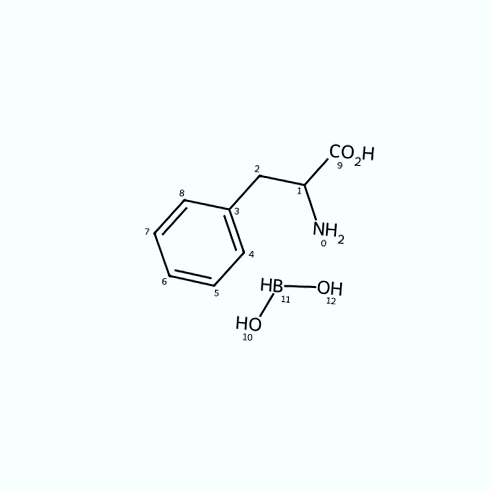 NC(Cc1ccccc1)C(=O)O.OBO